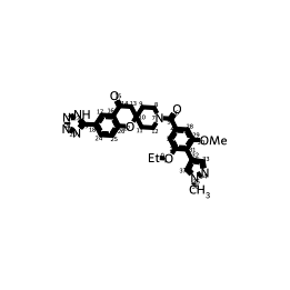 CCOc1cc(C(=O)N2CCC3(CC2)CC(=O)c2cc(-c4nnn[nH]4)ccc2O3)cc(OC)c1-c1cnn(C)c1